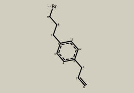 C=CCc1ccc(CCCBr)cc1